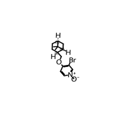 CC1(C)[C@H]2CC[C@H](COc3cc[n+]([O-])cc3Br)[C@H]1C2